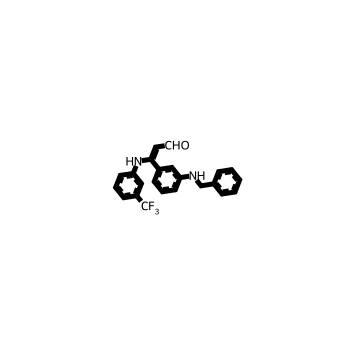 O=CC=C(Nc1cccc(C(F)(F)F)c1)c1cccc(NCc2ccccc2)c1